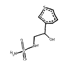 NS(=O)(=O)NCC(O)c1ccsc1